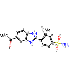 COC(=O)c1ccc2[nH]c(-c3ccc(S(N)(=O)=O)cc3OC)nc2c1